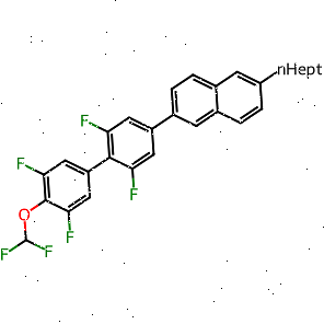 CCCCCCCc1ccc2cc(-c3cc(F)c(-c4cc(F)c(OC(F)F)c(F)c4)c(F)c3)ccc2c1